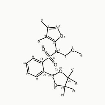 COCN(c1onc(C)c1C)S(=O)(=O)c1ccccc1B1OC(C)(C)C(C)(C)O1